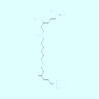 CCCCN(CCCC)CCCC(C)CCNCCCCCCNCCC(C)CCCN(CCCC)CCCC